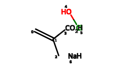 C=C(C)C(=O)O.OCl.[NaH]